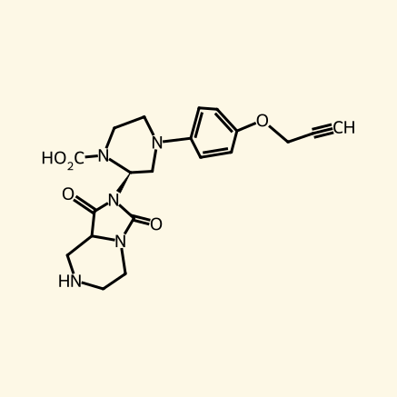 C#CCOc1ccc(N2CCN(C(=O)O)[C@H](N3C(=O)C4CNCCN4C3=O)C2)cc1